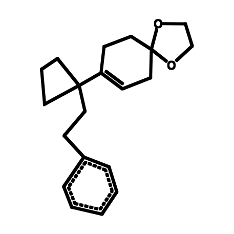 C1=C(C2(CCc3ccccc3)CCC2)CCC2(C1)OCCO2